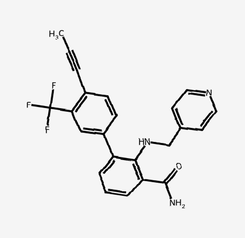 CC#Cc1ccc(-c2cccc(C(N)=O)c2NCc2ccncc2)cc1C(F)(F)F